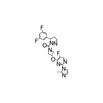 Cc1nccn1-c1ncc(F)c(OC2CN(C(=O)N3N=CCC3c3cc(F)cc(F)c3)C2)n1